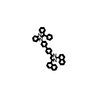 c1ccc(-c2c3ccccc3n3c4ccccc4n(-c4ccc(-c5ccc(-c6cc(-c7cccc8ccccc78)nc(-c7cccc8ccccc78)n6)cc5)cc4)c23)cc1